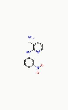 NCc1cccnc1Nc1cccc([N+](=O)[O-])c1